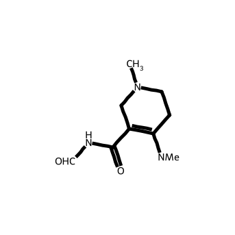 CNC1=C(C(=O)NC=O)CN(C)CC1